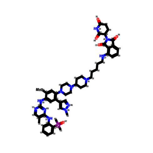 COc1cc(N2CCN(C3CCN(CCCCCNc4cccc5c4C(=O)N(C4CCC(=O)NC4=O)C5=O)CC3)CC2)c(-c2cnn(C)c2)cc1Nc1ncc(C)c(Nc2ccccc2P(C)(C)=O)n1